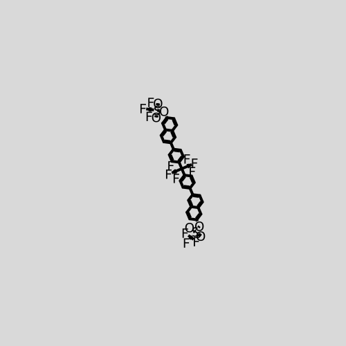 O=S(=O)(Oc1ccc2cc(-c3ccc(C(c4ccc(-c5ccc6cc(OS(=O)(=O)C(F)(F)F)ccc6c5)cc4)(C(F)(F)F)C(F)(F)F)cc3)ccc2c1)C(F)(F)F